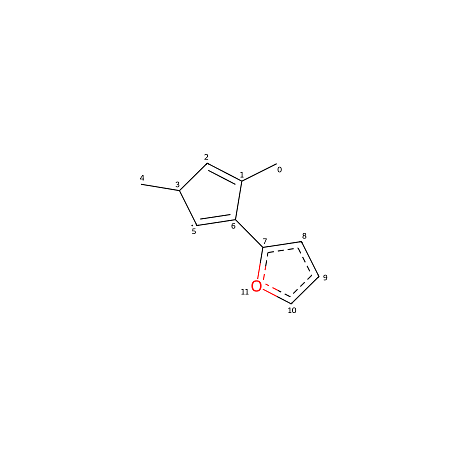 CC1=CC(C)[C]=C1c1ccco1